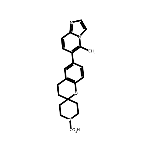 Cc1c(-c2ccc3c(c2)CCC2(CCN(C(=O)O)CC2)O3)ccc2nccn12